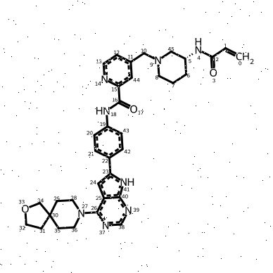 C=CC(=O)N[C@@H]1CCCN(Cc2ccnc(C(=O)Nc3ccc(-c4cc5c(N6CCC7(CCOC7)CC6)ncnc5[nH]4)cc3)c2)C1